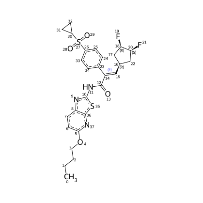 CCCCOc1ccc2nc(NC(=O)/C(=C/[C@H]3C[C@@H](F)[C@@H](F)C3)c3ccc(S(=O)(=O)C4CC4)cc3)sc2n1